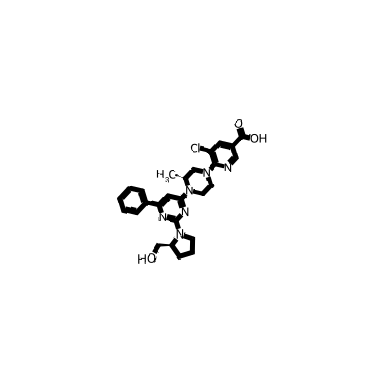 C[C@@H]1CN(c2ncc(C(=O)O)cc2Cl)CCN1c1cc(-c2ccccc2)nc(N2CCC[C@H]2CO)n1